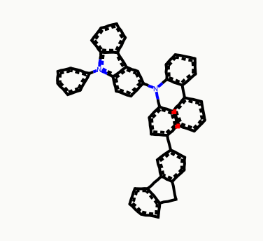 c1ccc(-c2ccccc2N(c2ccc(-c3ccc4c(c3)-c3ccccc3C4)cc2)c2ccc3c(c2)c2ccccc2n3-c2ccccc2)cc1